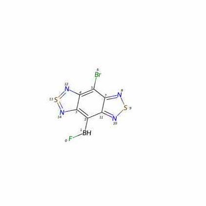 FBc1c2c(c(Br)c3nsnc13)N=S=N2